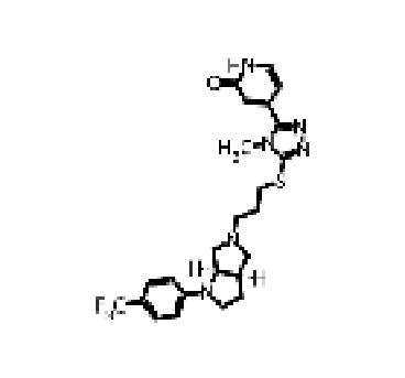 Cn1c(SCCCN2C[C@H]3CCN(c4ccc(C(F)(F)F)cc4)[C@H]3C2)nnc1-c1cc[nH]c(=O)c1